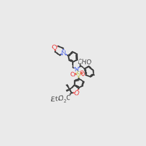 CCOC(=O)C1Oc2ccc(S(=O)(=O)N(Cc3cccc(N4CCOCC4)c3)C(C=O)c3ccccc3)cc2C1(C)C